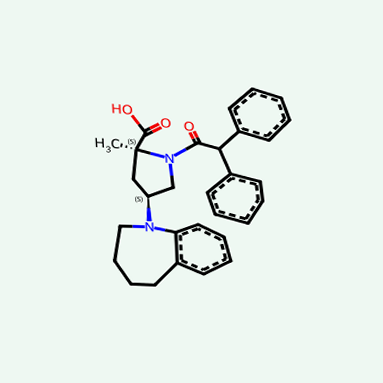 C[C@@]1(C(=O)O)C[C@H](N2CCCCc3ccccc32)CN1C(=O)C(c1ccccc1)c1ccccc1